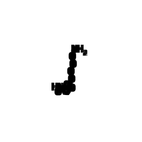 NCCOCCOCCOCCOCCS(=O)(=O)c1cccc2c1CNC2=O